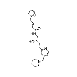 O=C(CSCc1ccco1)NCC(O)CCc1cc(CN2CCCCC2)ccn1